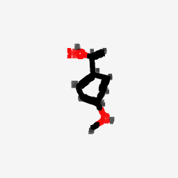 C=C(O)c1ccc(OC)cc1